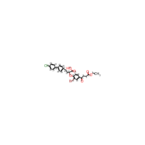 CCOC(=O)CCC(=O)c1ccc(OC(CCc2ccc(-c3ccc(Cl)cc3)cc2)C(=O)O)c(Br)c1